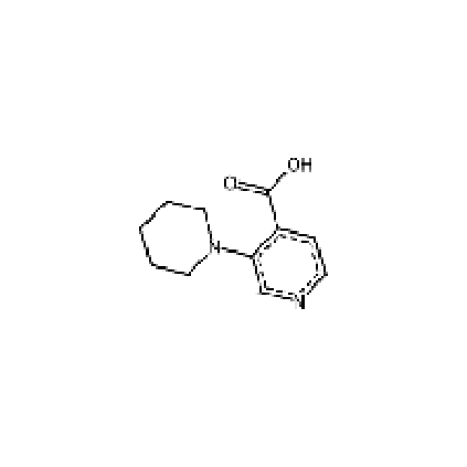 O=C(O)c1ccn[c]c1N1CCCCC1